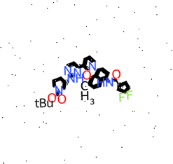 Cc1ccc2c(NC(=O)[C@H]3CCC(F)(F)C3)cccc2c1Oc1ncccc1-c1ccnc(N[C@H]2CCCN(C(=O)OC(C)(C)C)C2)n1